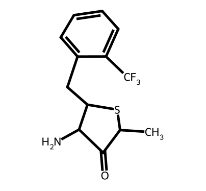 CC1SC(Cc2ccccc2C(F)(F)F)C(N)C1=O